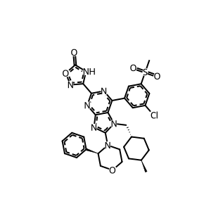 CS(=O)(=O)c1cc(Cl)cc(-c2nc(-c3noc(=O)[nH]3)nc3nc(N4CCOC[C@H]4c4ccccc4)n(C[C@H]4CC[C@H](C)CC4)c23)c1